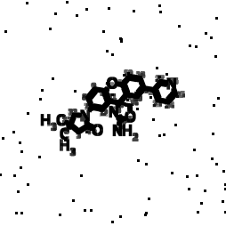 CC1(C)CC(=O)N(c2ccc3c(c2)[C@]2(COC(N)=N2)c2cc(-c4cccnc4)ccc2O3)C1